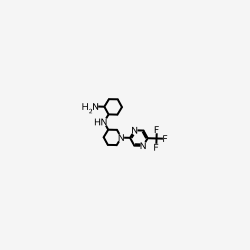 NC1CCCCC1NC1CCCN(c2cnc(C(F)(F)F)cn2)C1